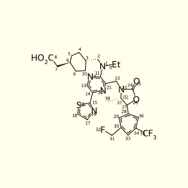 CCN(C[C@H]1CC[C@H](CC(=O)O)CC1)c1ncc(-c2nccs2)nc1CN1C(=O)OC(c2cc(CF)cc(C(F)(F)F)c2)[C@@H]1C